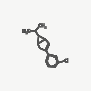 CC(C)C1C2C=C(c3cccc(Cl)c3)CC21